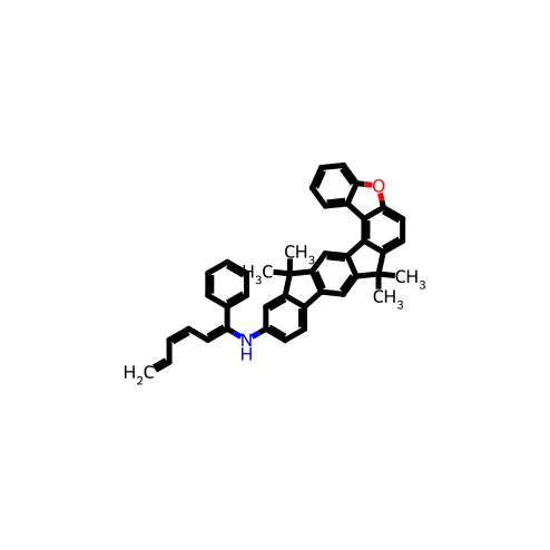 C=C/C=C\C=C(\Nc1ccc2c(c1)C(C)(C)c1cc3c(cc1-2)C(C)(C)c1ccc2oc4ccccc4c2c1-3)c1ccccc1